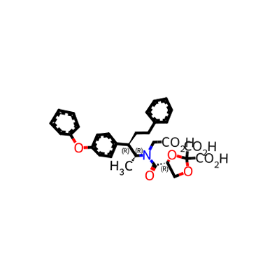 C[C@H]([C@H](CCc1ccccc1)c1ccc(Oc2ccccc2)cc1)N(CC(=O)O)C(=O)[C@H]1COC(C(=O)O)(C(=O)O)O1